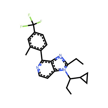 CCc1nc2c(-c3ccc(C(F)(F)F)cc3C)nccc2n1C(CC)C1CC1